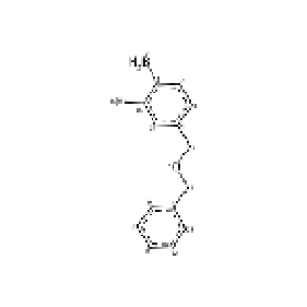 Bc1ccc(COCc2ccccc2)cc1F